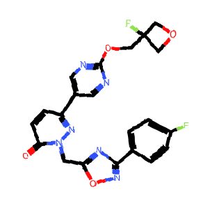 O=c1ccc(-c2cnc(OCC3(F)COC3)nc2)nn1Cc1nc(-c2ccc(F)cc2)no1